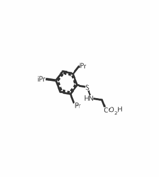 CC(C)c1cc(C(C)C)c(SNCC(=O)O)c(C(C)C)c1